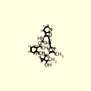 C=C(O)C1(C(=C)Sc2sc(C#Cc3oc4ncccc4c3NC(=O)OC(C)c3ccccc3C)nc2C)CC1